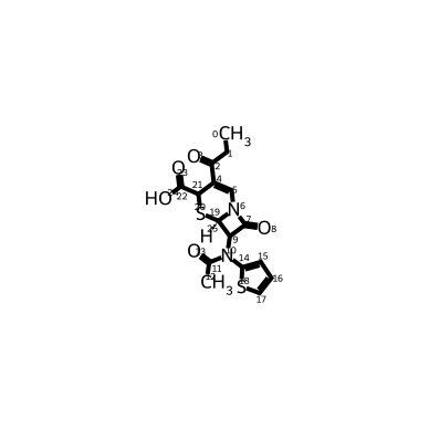 CCC(=O)C1=CN2C(=O)C(N(C(C)=O)c3cccs3)[C@H]2SC1C(=O)O